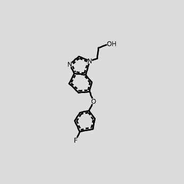 OCCn1cnc2ccc(Oc3ccc(F)cc3)cc21